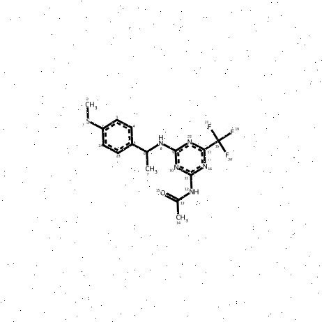 CSc1ccc(C(C)Nc2nc(NC(C)=O)nc(C(F)(F)F)n2)cc1